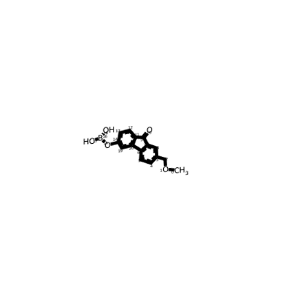 COCc1ccc2c(c1)C(=O)c1ccc(OB(O)O)cc1-2